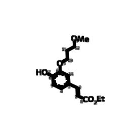 CCOC(=O)/C=C/c1ccc(O)c(OCCCOC)c1